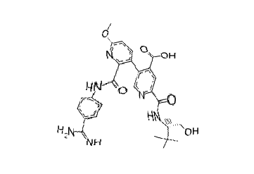 COc1ccc(-c2cnc(C(=O)N[C@H](CO)C(C)(C)C)cc2C(=O)O)c(C(=O)Nc2ccc(C(=N)N)cc2)n1